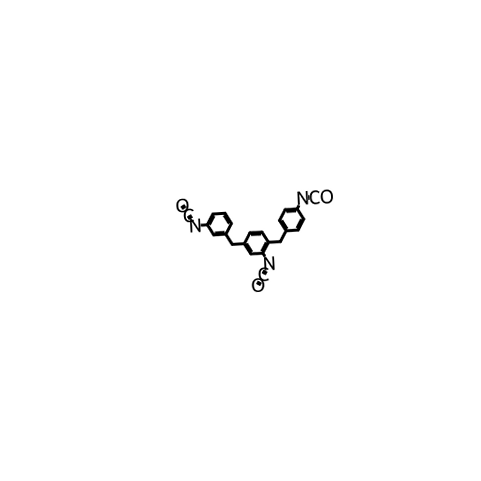 O=C=Nc1ccc(Cc2ccc(Cc3cccc(N=C=O)c3)cc2N=C=O)cc1